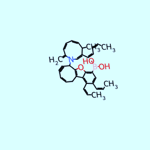 C=C1/C=C\C=C/C(C)C(/C=C\C=C/C)=C\N1C1C#C/C=C\Cc2c1oc1c(B(O)O)cc(/C=C\C)c(/C=C\C)c21